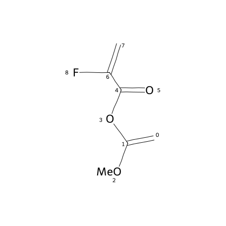 C=C(OC)OC(=O)C(=C)F